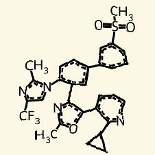 Cc1nc(-c2cc(-c3cccc(S(C)(=O)=O)c3)ccc2-n2cc(C(F)(F)F)nc2C)c(-c2cccnc2C2CC2)o1